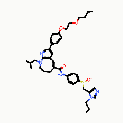 CCCCOCCOc1ccc(-c2cnc3c(c2)C=C(C(=O)Nc2ccc([S+]([O-])Cc4cncn4CCC)cc2)CCCN3CC(C)C)cc1